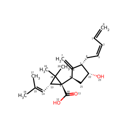 C=C/C=C\C[C@H]1C(=C)[C@H]([C@]2(C(=O)O)[C@H](C=C(C)C)C2(C)C)C[C@H]1O